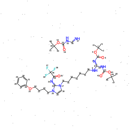 CC(C)(C)OC(=O)N=C(NCCCCCCCn1ccn(CCCCOc2ccccc2)c1=NC(=O)C(F)(F)F)NC(=O)OC(C)(C)C.CC(C)(C)OC(=O)NC=N